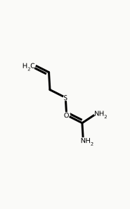 C=CCS[O+]=C(N)N